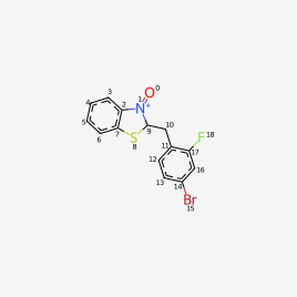 O=[N+]1c2ccccc2SC1Cc1ccc(Br)cc1F